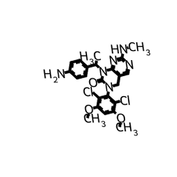 CNc1ncc2c(n1)N(C(C)c1ccc(N)cc1)C(=O)N(c1c(Cl)c(OC)cc(OC)c1Cl)C2